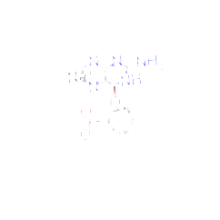 Nc1nc2nccnc2c(=O)[nH]1.O=C([O-])c1ccccc1.[Na+]